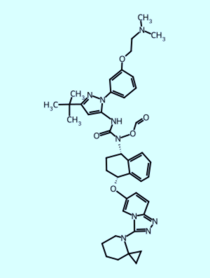 CN(C)CCOc1cccc(-n2nc(C(C)(C)C)cc2NC(=O)N(OC=O)[C@H]2CC[C@@H](Oc3ccc4nnc(N5CCCCC56CC6)n4c3)c3ccccc32)c1